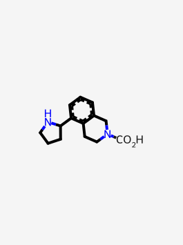 O=C(O)N1CCc2c(cccc2C2CCCN2)C1